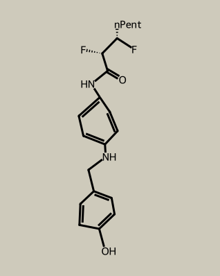 CCCCC[C@H](F)[C@@H](F)C(=O)Nc1ccc(NCc2ccc(O)cc2)cc1